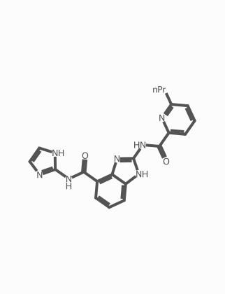 CCCc1cccc(C(=O)Nc2nc3c(C(=O)Nc4ncc[nH]4)cccc3[nH]2)n1